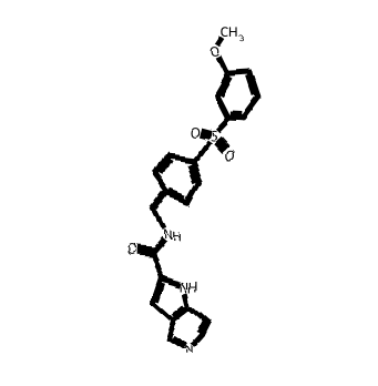 COc1cccc(S(=O)(=O)c2ccc(CNC(=O)c3cc4cnccc4[nH]3)cc2)c1